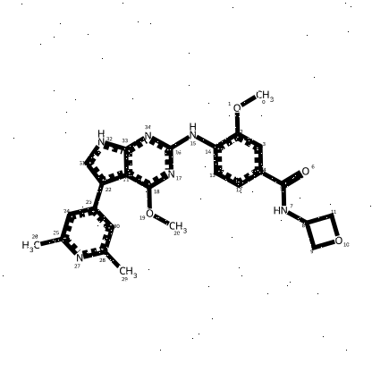 COc1cc(C(=O)NC2COC2)ccc1Nc1nc(OC)c2c(-c3cc(C)nc(C)c3)c[nH]c2n1